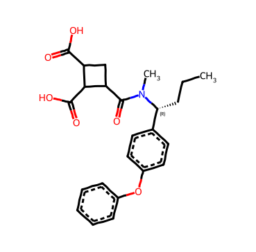 CCC[C@H](c1ccc(Oc2ccccc2)cc1)N(C)C(=O)C1CC(C(=O)O)C1C(=O)O